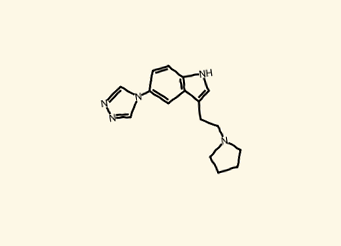 c1cc2[nH]cc(CCN3CCCC3)c2cc1-n1cnnc1